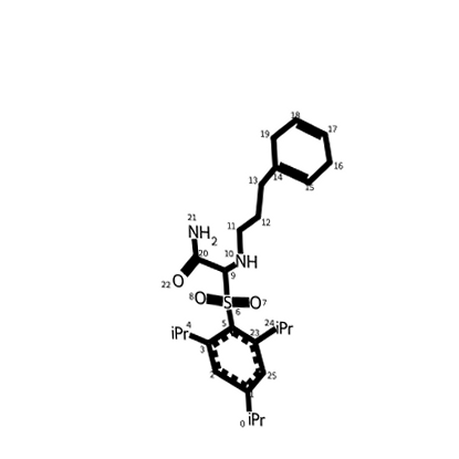 CC(C)c1cc(C(C)C)c(S(=O)(=O)C(NCCCC2=CCC=CC2)C(N)=O)c(C(C)C)c1